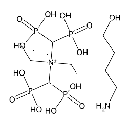 CC[N+](CC)(C(P(=O)(O)O)P(=O)(O)O)C(P(=O)(O)O)P(=O)(O)O.NCCCCO